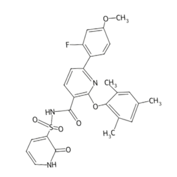 COc1ccc(-c2ccc(C(=O)NS(=O)(=O)c3ccc[nH]c3=O)c(Oc3c(C)cc(C)cc3C)n2)c(F)c1